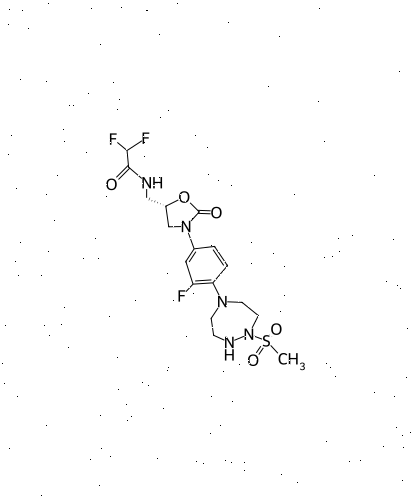 CS(=O)(=O)N1CCN(c2ccc(N3C[C@H](CNC(=O)C(F)F)OC3=O)cc2F)CCN1